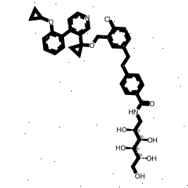 O=C(NC[C@H](O)[C@@H](O)[C@H](O)[C@H](O)CO)c1ccc(CCc2ccc(Cl)c(COC3(c4cnccc4-c4ccccc4OC4CC4)CC3)c2)cc1